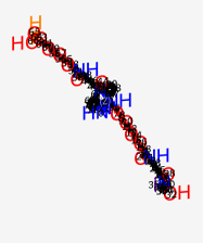 N=N/C1=C(\NCCOCCOCCOCCOCCC(=O)NCCCCCC(=O)N2C[C@H](O)C[C@H]2I)c2ccccc2N(C(=O)CCCCC(=O)NCCOCCOCCOCCO[PH](=O)O)Cc2ccccc21